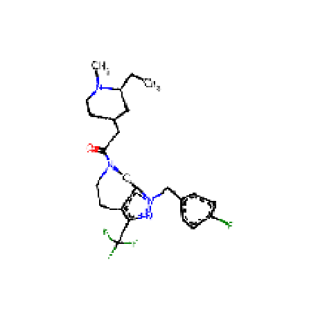 CCC1CC(CC(=O)N2CCc3c(C(F)(F)F)nn(Cc4ccc(F)cc4)c3C2)CCN1C